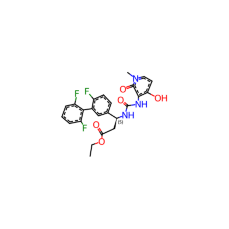 CCOC(=O)C[C@H](NC(=O)Nc1c(O)ccn(C)c1=O)c1ccc(F)c(-c2c(F)cccc2F)c1